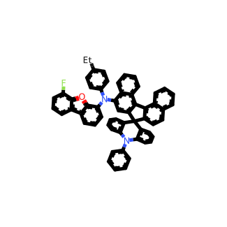 CCc1ccc(N(c2cc3c(c4ccccc24)-c2c(ccc4ccccc24)C32c3ccccc3N(c3ccccc3)c3ccccc32)c2cccc3c2oc2c(F)cccc23)cc1